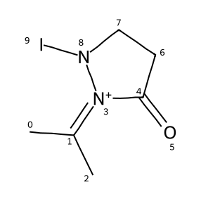 CC(C)=[N+]1C(=O)CCN1I